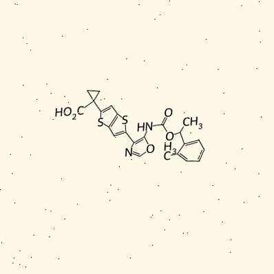 Cc1ccccc1C(C)OC(=O)Nc1ocnc1-c1cc2sc(C3(C(=O)O)CC3)cc2s1